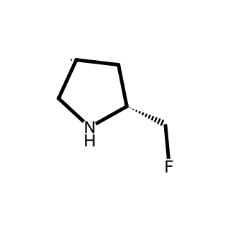 FC[C@H]1C[CH]CN1